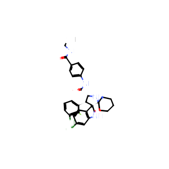 CCNC(=O)c1ccc(NC(=O)[C@@H]2NC3(CCCCC3)[C@]3(C(=O)Nc4cc(Cl)ccc43)[C@H]2c2cccc(Cl)c2F)cc1